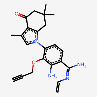 C#CCOc1c(-n2cc(C)c3c2CC(C)(C)CC3=O)ccc(/C(N)=N\C=C)c1N